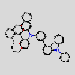 c1ccc(-n2c3ccccc3c3c(-c4cccc(N(c5ccc6ccccc6c5)c5ccccc5-c5cccc6cccc(C7CCCCC7)c56)c4)cccc32)cc1